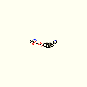 CC(C)[C@H](N)C(=O)OCCOC(=O)O[C@H]1CC[C@@]2(C)C(=CC[C@@H]3[C@@H]2CC[C@]2(C)C(c4cccnc4)=CC[C@@H]32)C1